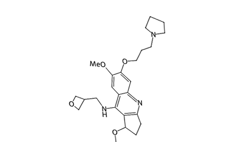 COc1cc2c(NCC3COC3)c3c(nc2cc1OCCCN1CCCC1)CCC3OC=O